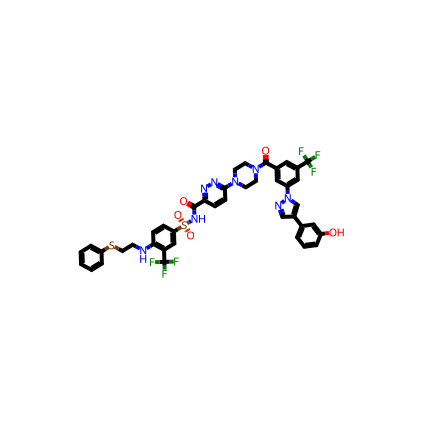 O=C(NS(=O)(=O)c1ccc(NCCSc2ccccc2)c(C(F)(F)F)c1)c1ccc(N2CCN(C(=O)c3cc(-n4cc(-c5cccc(O)c5)cn4)cc(C(F)(F)F)c3)CC2)nn1